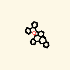 C1#Cc2ccccc2C=C(c2ccccc2-c2oc(-c3ccccc3-c3ccccc3)c3c2CCC=C3)C1